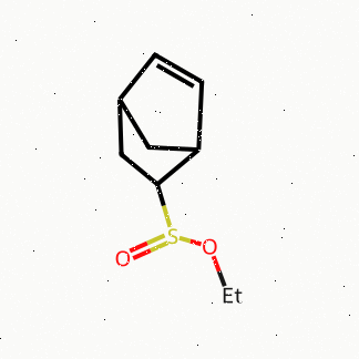 CCOS(=O)C1CC2C=CC1C2